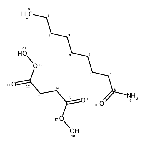 CCCCCCCCC(N)=O.O=C(CCC(=O)OO)OO